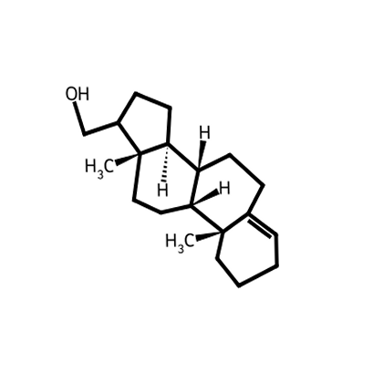 C[C@]12CCCC=C1CC[C@@H]1[C@H]2CC[C@]2(C)C(CO)CC[C@@H]12